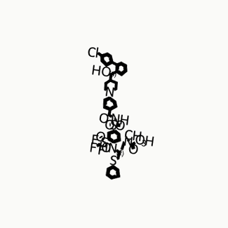 CN(CC[C@H](CSc1ccccc1)Nc1ccc(S(=O)(=O)NC(=O)c2ccc(N3CCC([C@H](O)c4ccccc4-c4ccc(Cl)cc4)CC3)cc2)cc1S(=O)(=O)C(F)(F)F)C(=O)O